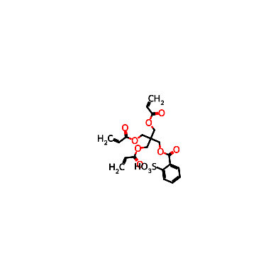 C=CC(=O)OCC(COC(=O)C=C)(COC(=O)C=C)COC(=O)c1ccccc1S(=O)(=O)O